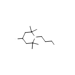 CC1(C)CC(O)CC(C)(C)N1CCCC(=O)O